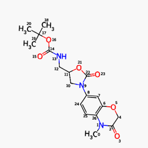 CN1C(=O)COc2cc(N3CC(CNC(=O)OC(C)(C)C)OC3=O)ccc21